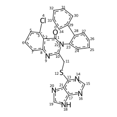 O=c1c2c(Cl)cccc2nc(CSc2ncnc3[nH]cnc23)n1-c1ccccc1-c1ccccc1